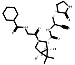 CC1(C)[C@@H]2[C@@H](C(=O)NC(C#N)C[C@@H]3CCNC3=O)N(C(=O)CNC(=O)C3CCCCC3)C[C@@H]21